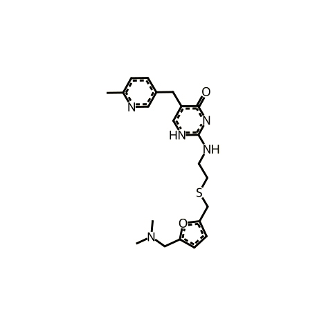 Cc1ccc(Cc2c[nH]c(NCCSCc3ccc(CN(C)C)o3)nc2=O)cn1